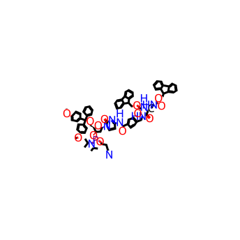 COc1ccc(C(OC[C@H]2O[C@@H](n3ccc(NC(=O)c4ccc(CNC(=O)C(CNC(=O)OCC5c6ccccc6-c6ccccc65)NC(=O)OCC5c6ccccc6-c6ccccc65)cc4)nc3=O)C[C@H]2OP(OCCC#N)N(C(C)C)C(C)C)(c2ccccc2)c2ccc(OC)cc2)cc1